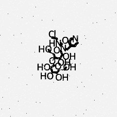 O=C(NCCCl)N(Cc1ccncc1)C1O[C@H](CO)[C@@H](O[C@H]2O[C@H](CO)[C@@H](O)[C@H](O)[C@H]2O)[C@H](O)[C@H]1O